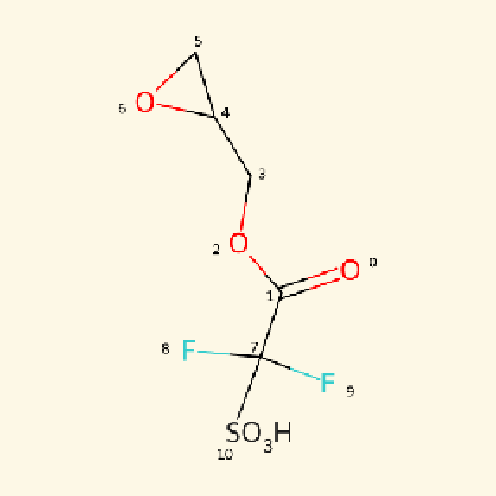 O=C(OCC1CO1)C(F)(F)S(=O)(=O)O